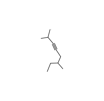 [CH2]C(C)C#CCC(C)CC